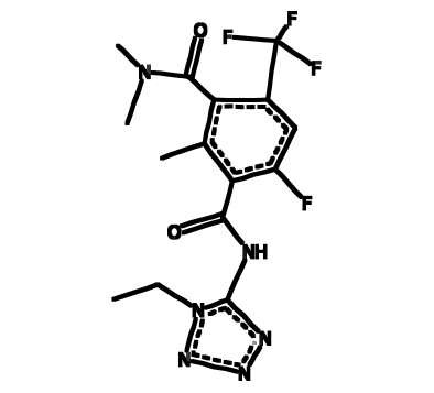 CCn1nnnc1NC(=O)c1c(F)cc(C(F)(F)F)c(C(=O)N(C)C)c1C